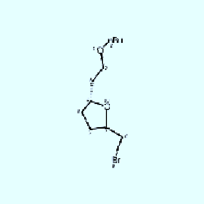 CCCCOCC[C@H]1CCC(CBr)O1